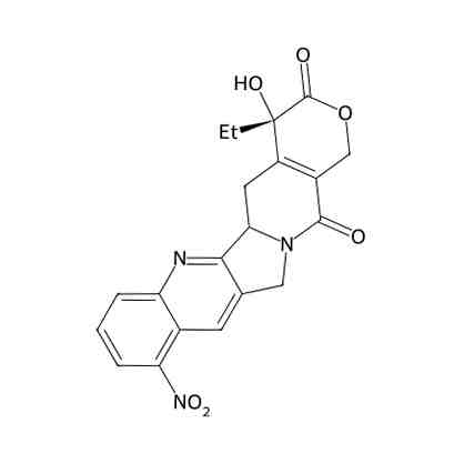 CC[C@@]1(O)C(=O)OCC2=C1CC1c3nc4cccc([N+](=O)[O-])c4cc3CN1C2=O